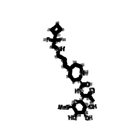 CS[C@H]1O[C@H](C(NC(=O)[C@@H]2CC=C(/C=C/CNCC(F)(F)C3CCC3)CCN2)C(C)Cl)[C@H](O)[C@H](O)[C@H]1O